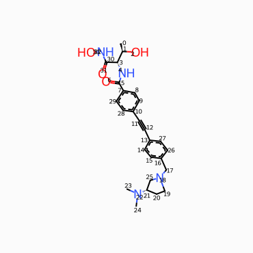 C[C@@H](O)[C@H](NC(=O)c1ccc(C#Cc2ccc(CN3CC[C@H](N(C)C)C3)cc2)cc1)C(=O)NO